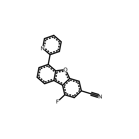 N#Cc1cc(F)c2c(c1)oc1c(-c3ccccn3)cccc12